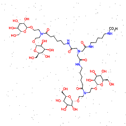 O=C(O)NCCCCCNC(=O)CN(CC(=O)NCCCCCC(=O)N(CCO[C@H]1O[C@H](CO)[C@@H](O)[C@H](O)[C@@H]1O)CCO[C@H]1O[C@H](CO)[C@@H](O)[C@H](O)[C@@H]1O)CC(=O)NCCCCCC(=O)N(CCO[C@H]1O[C@H](CO)[C@@H](O)[C@H](O)[C@@H]1O)CCO[C@H]1O[C@H](CO)[C@@H](O)[C@H](O)[C@@H]1O